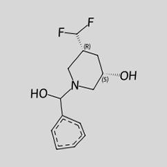 OC(c1ccccc1)N1C[C@@H](O)C[C@@H](C(F)F)C1